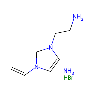 Br.C=CN1C=CN(CCN)C1.N